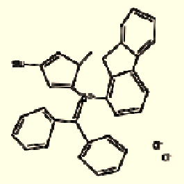 CC1C=C(C(C)(C)C)C=[C]1[Zr+2](=[C](c1ccccc1)c1ccccc1)[c]1cccc2c1Cc1ccccc1-2.[Cl-].[Cl-]